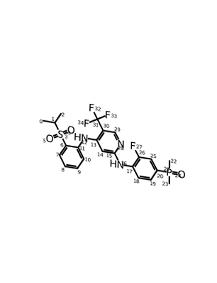 CC(C)S(=O)(=O)c1ccccc1Nc1cc(Nc2ccc(P(C)(C)=O)cc2F)ncc1C(F)(F)F